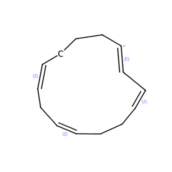 [C]1=C/C=C\CC/C=C\C/C=C\CCC/1